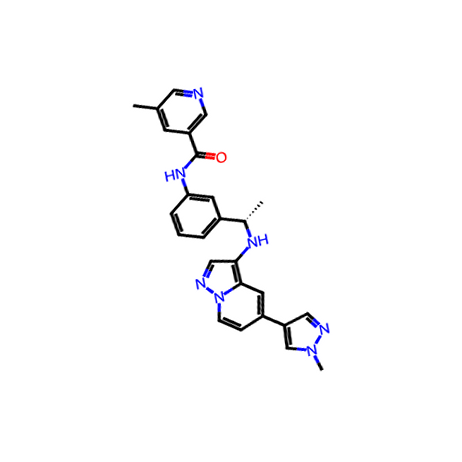 Cc1cncc(C(=O)Nc2cccc([C@H](C)Nc3cnn4ccc(-c5cnn(C)c5)cc34)c2)c1